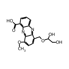 COc1ccc(COC(O)CO)c2nc3cccc(C(=O)O)c3nc12